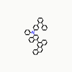 c1ccc(-c2ccccc2-c2ccc(N(c3ccccc3)c3ccc(-c4cc5c6ccccc6ccc5c5ccccc45)c4ccccc34)cc2)cc1